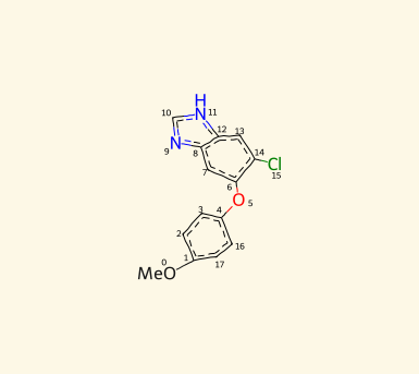 COc1ccc(Oc2cc3nc[nH]c3cc2Cl)cc1